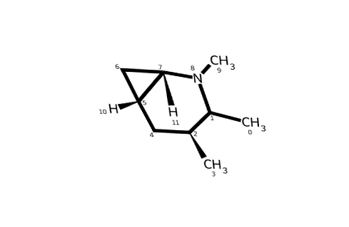 CC1[C@@H](C)C[C@@H]2C[C@@H]2N1C